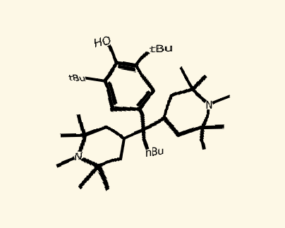 [CH2]CCCC(c1cc(C(C)(C)C)c(O)c(C(C)(C)C)c1)(C1CC(C)(C)N(C)C(C)(C)C1)C1CC(C)(C)N(C)C(C)(C)C1